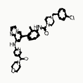 Cc1c(NC(=O)N2CCN(Cc3ccc(Cl)cc3)CC2)cccc1-c1cc(Nc2ccc(C(=O)N3CCOCC3)cn2)c2nccn2c1